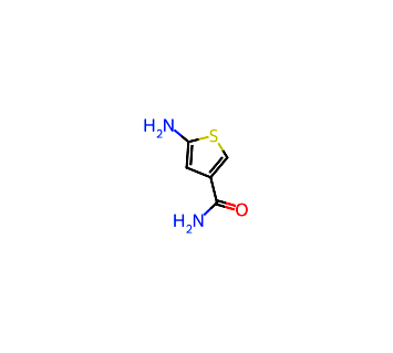 NC(=O)c1csc(N)c1